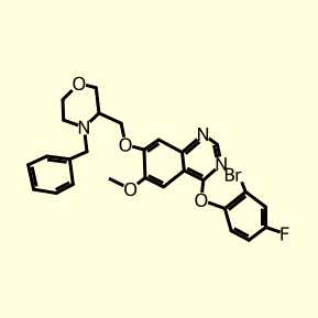 COc1cc2c(Oc3ccc(F)cc3Br)ncnc2cc1OCC1COCCN1Cc1ccccc1